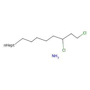 CCCCCCCCCCCCC(Cl)CCCl.N